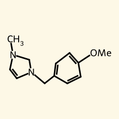 COc1ccc(CN2C=CN(C)C2)cc1